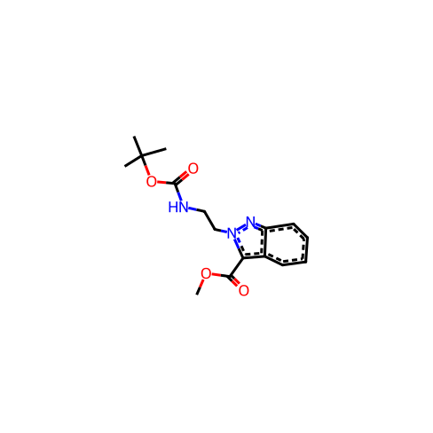 COC(=O)c1c2ccccc2nn1CCNC(=O)OC(C)(C)C